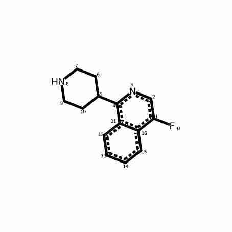 Fc1cnc(C2CCNCC2)c2ccccc12